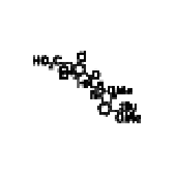 COc1sc(NC(=O)c2cc(Cl)c(C=C(C)C(=O)O)c(Cl)c2)nc1-c1cccc(C(OC)C(C)(C)C)c1F